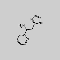 NC(Cc1ncc[nH]1)c1ccccn1